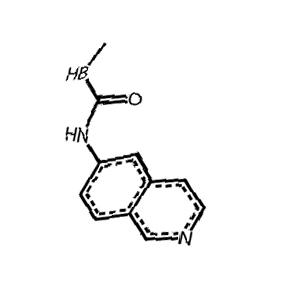 CBC(=O)Nc1ccc2cnccc2c1